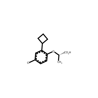 C[C@H](Oc1ccc(Cl)cc1C1CCC1)C(=O)O